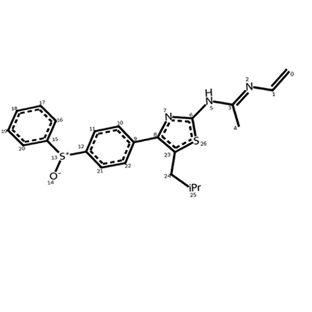 C=C/N=C(\C)Nc1nc(-c2ccc([S+]([O-])c3ccccc3)cc2)c(CC(C)C)s1